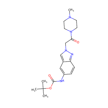 CN1CCN(C(=O)Cn2cc3cc(NC(=O)OC(C)(C)C)ccc3n2)CC1